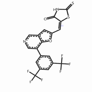 O=C1NC(=S)S/C1=C/c1cc2cncc(-c3cc(C(F)(F)F)cc(C(F)(F)F)c3)c2o1